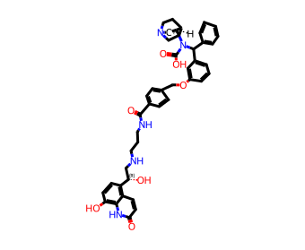 O=C(NCCCNC[C@H](O)c1ccc(O)c2[nH]c(=O)ccc12)c1ccc(COc2cccc(C(c3ccccc3)N(C(=O)O)[C@H]3CN4CCC3CC4)c2)cc1